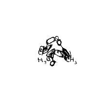 COC(=O)[C@H]1CCC[C@H](Oc2ccc(-c3cnn(C)c3COC(=O)N(C)Cc3ccccc3)cc2)C1